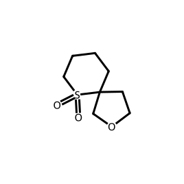 O=S1(=O)CCCCC12CCOC2